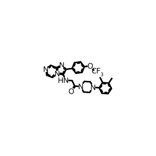 Cc1cccc(N2CCN(C(=O)CNc3c(-c4ccc(OC(F)(F)F)cc4)nc4cnccn34)CC2)c1C